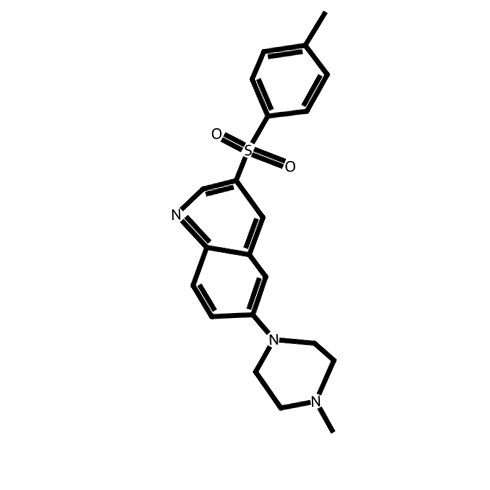 Cc1ccc(S(=O)(=O)c2cnc3ccc(N4CCN(C)CC4)cc3c2)cc1